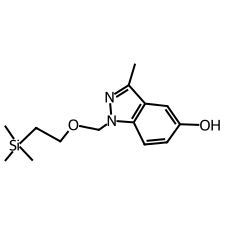 Cc1nn(COCC[Si](C)(C)C)c2ccc(O)cc12